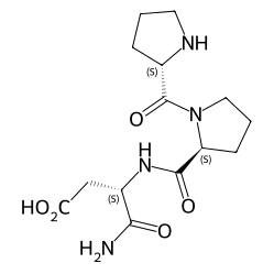 NC(=O)[C@H](CC(=O)O)NC(=O)[C@@H]1CCCN1C(=O)[C@@H]1CCCN1